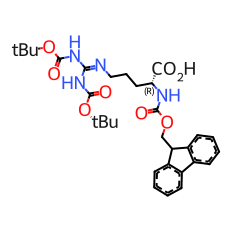 CC(C)(C)OC(=O)NC(=NCCC[C@@H](NC(=O)OCC1c2ccccc2-c2ccccc21)C(=O)O)NC(=O)OC(C)(C)C